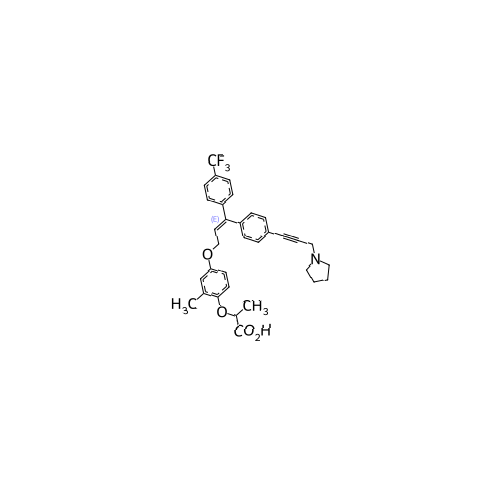 Cc1cc(OC/C=C(\c2ccc(C#CCN3CCCC3)cc2)c2ccc(C(F)(F)F)cc2)ccc1OC(C)C(=O)O